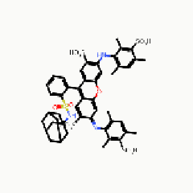 Cc1cc(C)c(S(=O)(=O)O)c(C)c1/N=c1\cc2oc3cc(Nc4c(C)cc(C)c(S(=O)(=O)O)c4C)c(S(=O)(=O)O)cc3c(-c3ccccc3S(=O)(=O)NC34CC5CC(CC(C5)C3)C4)c-2cc1S(=O)(=O)O